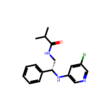 CC(C)C(=O)NC[C@H](Nc1cncc(Br)c1)c1ccccc1